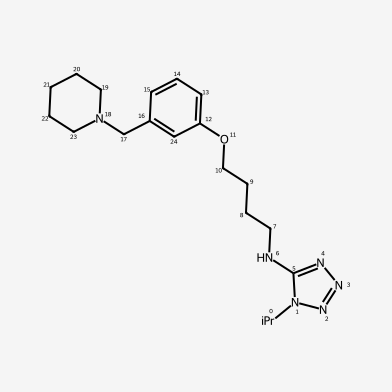 CC(C)n1nnnc1NCCCCOc1cccc(CN2CCCCC2)c1